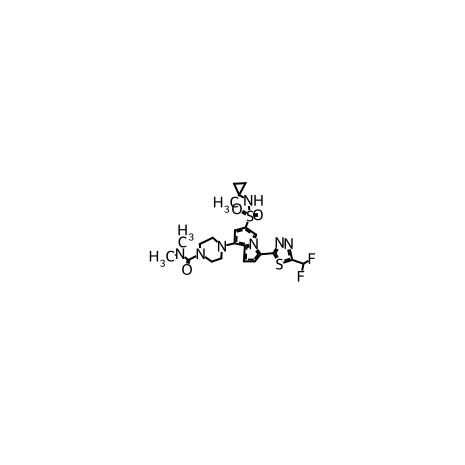 CN(C)C(=O)N1CCN(c2cc(S(=O)(=O)NC3(C)CC3)cn3c(-c4nnc(C(F)F)s4)ccc23)CC1